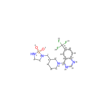 O=S1(=O)NCCN1CC1CCCN(c2ncnc3ccc(C(F)(F)F)cc23)C1